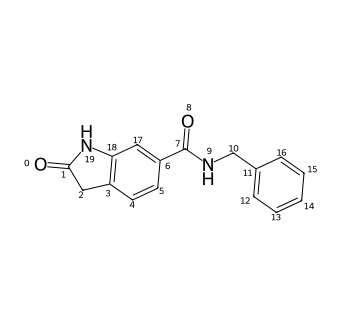 O=C1Cc2ccc(C(=O)NCc3ccccc3)cc2N1